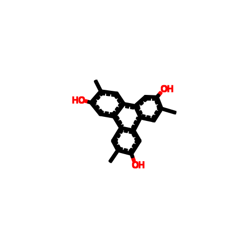 Cc1cc2c(cc1O)c1cc(C)c(O)cc1c1cc(C)c(O)cc21